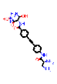 NC[C@H](N)C(=O)Nc1ccc(C#Cc2ccc(C(=O)N[C@H](C(=O)NO)[C@@H](N)O)cc2)cc1